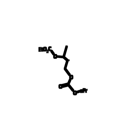 CCCOC(=O)OC[CH]C(C)OC(=O)OCC